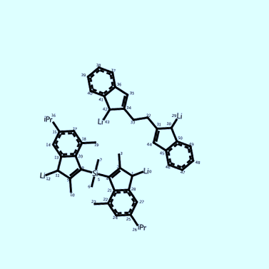 [Li][CH]1C(C)=C([Si](C)(C)C2=C(C)[CH]([Li])c3cc(C(C)C)cc(C)c32)c2c(C)cc(C(C)C)cc21.[Li][CH]1C(CCC2=Cc3ccccc3[CH]2[Li])=Cc2ccccc21